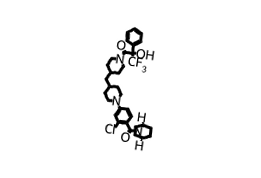 O=C(c1ccc(N2CCC(CC3CCN(C(=O)C(O)(c4ccccc4)C(F)(F)F)CC3)CC2)cc1Cl)N1[C@H]2CC[C@@H]1CC2